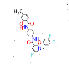 Cc1ccc(C(=O)NC2CCC(NC(=O)c3cc(F)cnc3Oc3ccc(F)c(F)c3)CC2)c(O)c1